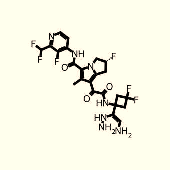 Cc1c(C(=O)C(=O)NC2(/C(=C/N)NN)CC(F)(F)C2)c2n(c1C(=O)Nc1ccnc(C(F)F)c1F)C[C@H](F)C2